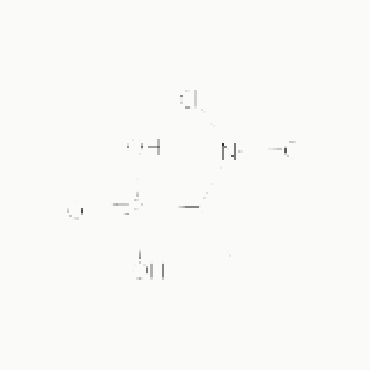 CC(N(Cl)Cl)P(=O)(O)O